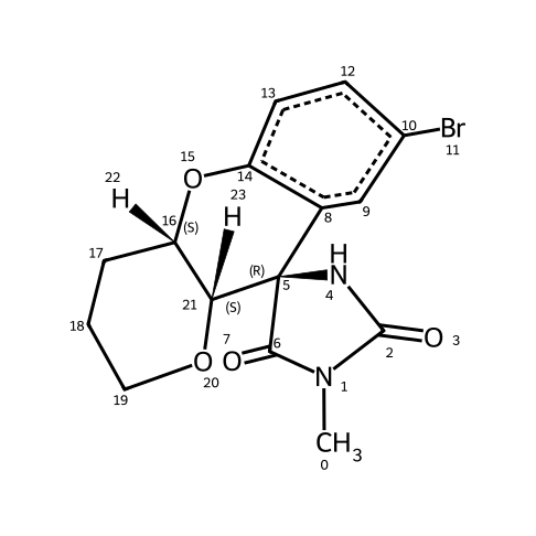 CN1C(=O)N[C@]2(C1=O)c1cc(Br)ccc1O[C@H]1CCCO[C@H]12